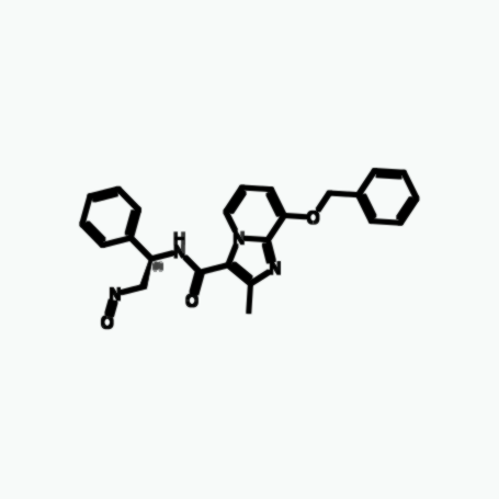 Cc1nc2c(OCc3ccccc3)cccn2c1C(=O)N[C@@H](CN=O)c1ccccc1